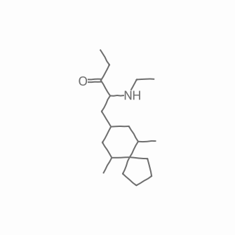 CCNC(CC1CC(C)C2(CCCC2)C(C)C1)C(=O)CC